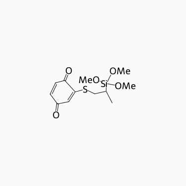 CO[Si](OC)(OC)C(C)CSC1=CC(=O)C=CC1=O